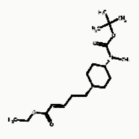 CCOC(=O)C=CCC[C@H]1CC[C@H](N(C)C(=O)OC(C)(C)C)CC1